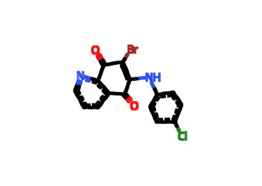 O=C1C(Nc2ccc(Cl)cc2)=C(Br)C(=O)c2ncccc21